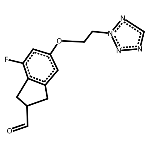 O=CC1Cc2cc(OCCn3ncnn3)cc(F)c2C1